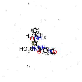 CC(C)(NC(=O)c1cc2c(NC(=O)c3ccc(N4CCOCC4)cc3)nn(C(=O)O)c2s1)c1ccccc1